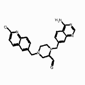 Nc1ncnc2cc(CN3CCN(Cc4ccc5nc(Cl)ccc5c4)CC3C=O)ccc12